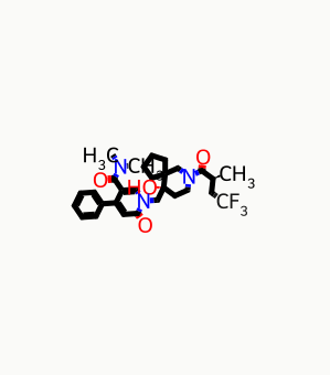 C[C@H](CC(F)(F)F)C(=O)N1CC[C@@](O)(Cn2cc(C(=O)N(C)C)c(-c3ccccc3)cc2=O)C2(CCCC2)C1